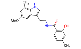 COc1cc(C)c2[nH]cc(CCNC(=O)c3ccc(C)cc3O)c2c1